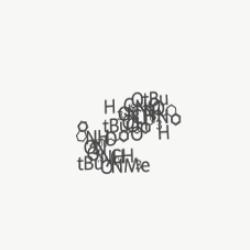 CN[C@@H](C)C(=O)N[C@H](C(=O)N1CC(OCc2ccc(C(=O)Oc3ccc4c(c3)CN(C(=O)[C@@H](NC(=O)[C@H](C)N(C)C(=O)OC(C)(C)C)C(C)(C)C)[C@H](C(=O)NC3CCCc5ccccc53)C4)cc2)C[C@H]1C(=O)NC1CCCc2ccccc21)C(C)(C)C